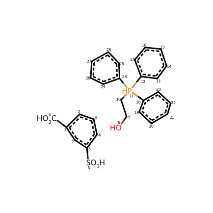 O=C(O)c1cccc(S(=O)(=O)O)c1.OCC[PH](c1ccccc1)(c1ccccc1)c1ccccc1